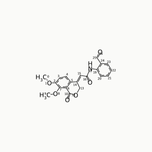 COc1ccc2c(c1OC)C(=O)OC/C2=C\C(=O)Nc1ccccc1C=O